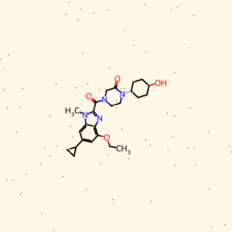 CCOc1cc(C2CC2)cc2c1nc(C(=O)N1CCN([C@H]3CC[C@H](O)CC3)C(=O)C1)n2C